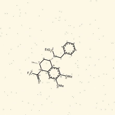 CCOC(=O)N(Cc1ccccc1)[C@H]1C[C@@H](C)N(C(=O)C(F)(F)F)c2cc(OC)c(OC)cc21